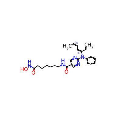 C=C/C(=C\C=C/C)N(c1ccccc1)c1ncc(C(=O)NCCCCCCC(=O)NO)cn1